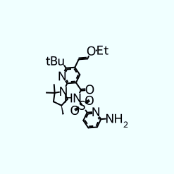 CCOC=Cc1cc(C(=O)NS(=O)(=O)c2cccc(N)n2)c(N2C[C@@H](C)CC2(C)C)nc1C(C)(C)C